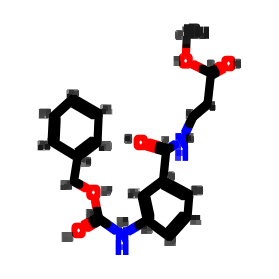 CC(C)(C)OC(=O)CCNC(=O)c1cccc(NC(=O)OCc2ccccc2)c1